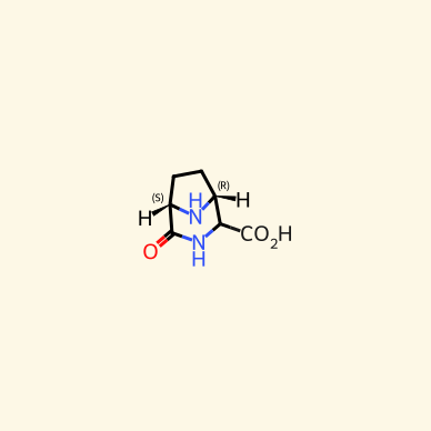 O=C(O)C1NC(=O)[C@@H]2CC[C@H]1N2